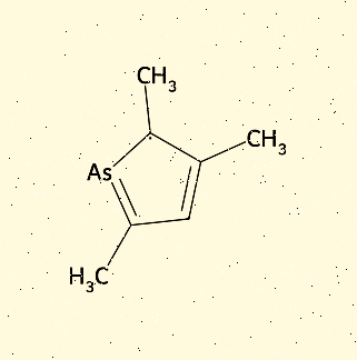 C[C]1[As]=C(C)C=C1C